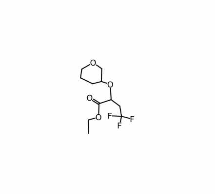 CCOC(=O)C(CC(F)(F)F)OC1CCCOC1